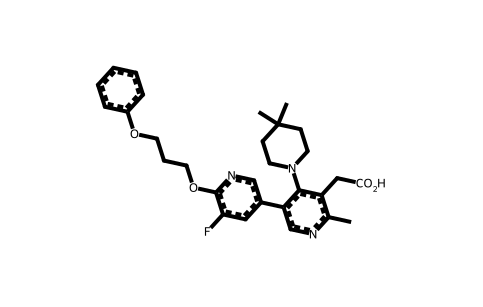 Cc1ncc(-c2cnc(OCCCOc3ccccc3)c(F)c2)c(N2CCC(C)(C)CC2)c1CC(=O)O